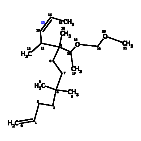 C=CCCC(C)(C)CCC(C)(C(C)/C=C\C)C(C)OCOC